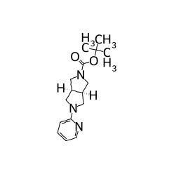 CC(C)(C)OC(=O)N1C[C@@H]2CN(c3ccccn3)C[C@@H]2C1